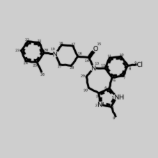 Cc1nc2c([nH]1)-c1cc(Cl)ccc1N(C(=O)C1CCN(c3ccccc3C)CC1)CC2